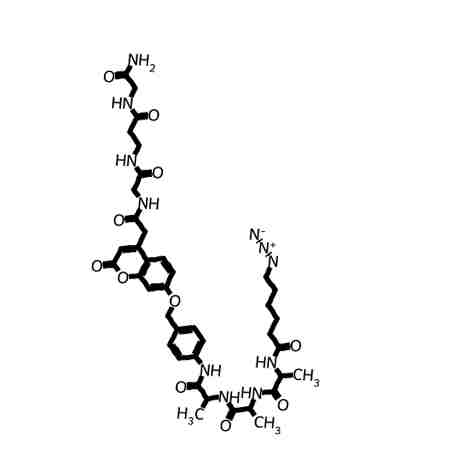 CC(NC(=O)CCCCCN=[N+]=[N-])C(=O)NC(C)C(=O)NC(C)C(=O)Nc1ccc(COc2ccc3c(CC(=O)NCC(=O)NCCC(=O)NCC(N)=O)cc(=O)oc3c2)cc1